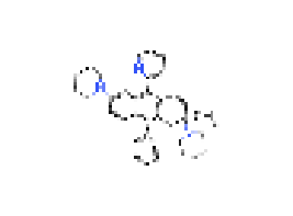 CC1(N2CCCCC2)C=Cc2c(c(-c3ccccc3)c3ccc(N4CCCCC4)cc3c2-c2ccccn2)C1